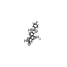 Cc1ccc(C(=O)Nc2ccc(C3=NNC(=O)CC3C)c(N)c2)cc1